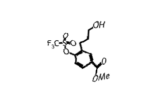 COC(=O)c1ccc(OS(=O)(=O)C(F)(F)F)c(CCCO)c1